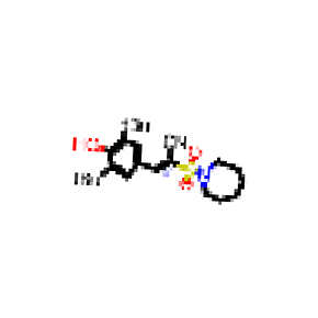 CC(C)(C)c1cc(/C=C(\C#N)S(=O)(=O)N2CCCCCC2)cc(C(C)(C)C)c1O